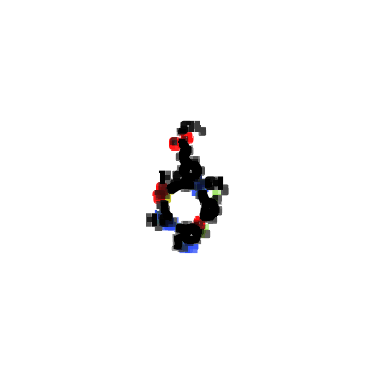 CCOC(=O)/C=C/c1cccc(C2(C)CCS(=O)(=O)Cc3nnn(c3C)Cc3c(c(F)cc4[nH]ccc34)Oc3ccc(F)c(c3)-c3nc2nn3C)c1